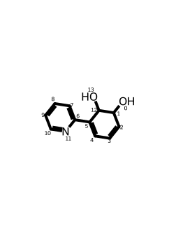 OC1C=CC=C(c2ccccn2)C1O